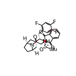 CC(C)(C)[S+]([O-])N[C@@H](Cc1cc(F)c(F)cc1F)[C@@H]1C[C@H]2CC[C@@H](C1)N2C(=O)CN1C(=O)c2ccccc2C1=O